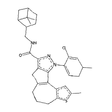 Cc1cc2c(s1)CCCC1=C2c2c(c(C(=O)NCC3CCC4CC3C4(C)C)nn2C2=CCC(C)C=C2Cl)C1